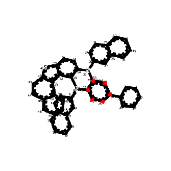 c1ccc(-c2ccc(N(c3ccc4ccccc4c3)c3c(N(c4ccccc4)c4ccc5ccccc5c4)ccc4sc5ccc6ccccc6c5c34)cc2)cc1